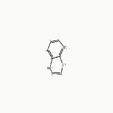 C1=C[N+]=C2SC=CNC2=C1